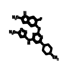 Cc1cc2cc(Oc3nc(Nc4cc(C)on4)cc(N4CCN(C)CC4)n3)c(F)cc2[nH]1